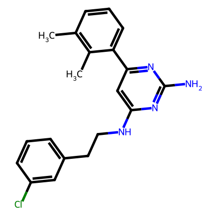 Cc1cccc(-c2cc(NCCc3cccc(Cl)c3)nc(N)n2)c1C